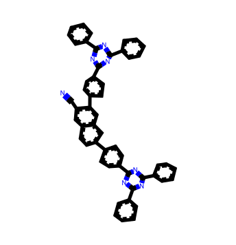 N#Cc1cc2ccc(-c3ccc(-c4nc(-c5ccccc5)nc(-c5ccccc5)n4)cc3)cc2cc1-c1ccc(-c2nc(-c3ccccc3)nc(-c3ccccc3)n2)cc1